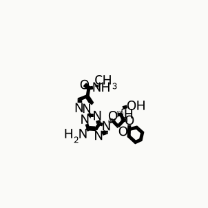 CNC(=O)c1cnn(-c2nc(N)c3ncn([C@@H]4O[C@H](CO)[C@@H]5OC6(CCCCC6)OC54)c3n2)c1